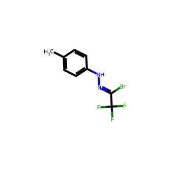 Cc1ccc(NN=C(Br)C(F)(F)F)cc1